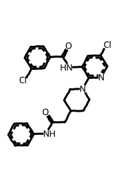 O=C(CC1CCN(c2ncc(Cl)cc2NC(=O)c2cccc(Cl)c2)CC1)Nc1ccccc1